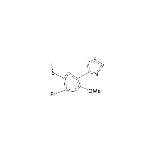 COc1cc(C(C)C)c(SI)cc1-c1cscn1